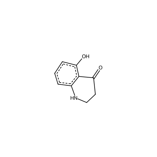 O=C1CCNc2cccc(O)c21